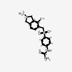 CN1Cc2ccc(CS(=O)(=O)c3ccc(NC(N)=O)cc3)c(F)c2C1